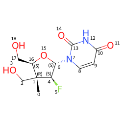 C[C@]1(CO)[C@H](F)[C@@H](n2ccc(=O)[nH]c2=O)O[C@@H]1CO